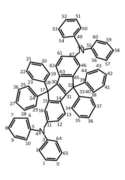 c1ccc(N(c2ccccc2)c2ccc3c(c2)C(c2ccccc2)(c2ccccc2)C2=C3C(c3ccccc3)(c3ccccc3)c3cc(N(c4ccccc4)c4ccccc4)ccc32)cc1